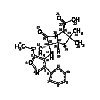 CSc1onc(-c2ccccc2)c1N[C@@]1(C)C(=O)N2[C@@H](C(=O)O)C(C)(C)S[C@@H]21